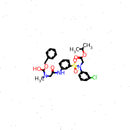 CC(C)OC(=O)CN(c1cccc(Cl)c1)S(=O)(=O)c1cccc(NC(=O)CN(C)C(O)OCc2ccccc2)c1